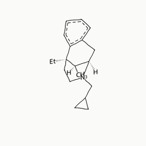 CC[C@]12CCN(CC3CC3)[C@H](Cc3ccccc31)[C@H]2C